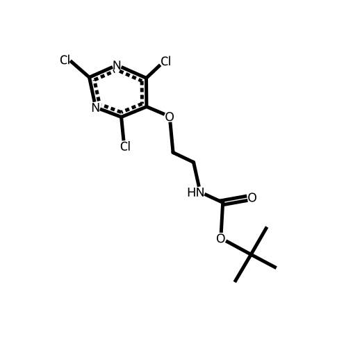 CC(C)(C)OC(=O)NCCOc1c(Cl)nc(Cl)nc1Cl